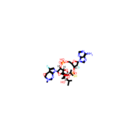 CC(C)[Si](O)(O[Si](O[C@H]1[C@H]2OP(=O)(O)OCC3O[C@@H](n4cnc5c(N)ncnc54)[C@H](F)[C@@H]3OP(=O)(S)OC[C@H]1O[C@H]2n1cc(F)c2c1N=CN(C)C1OC21)(C(C)C)C(C)C)C(C)C